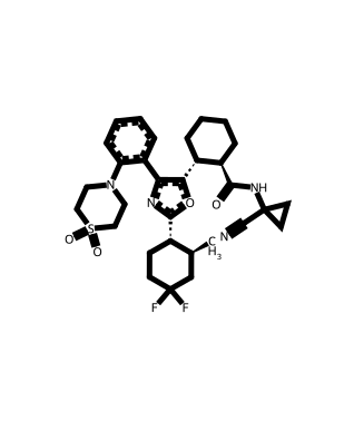 C[C@H]1CC(F)(F)CC[C@@H]1c1nc(-c2ccccc2N2CCS(=O)(=O)CC2)c([C@@H]2CCCC[C@H]2C(=O)NC2(C#N)CC2)o1